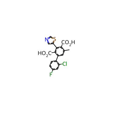 Cc1cc(-c2ccc(F)cc2Cl)c(C(=O)O)c(-c2cncs2)c1C(=O)O